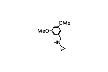 COc1cc(CNC2CC2)cc(OC)c1